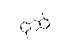 Cc1cccc(Sc2c(C)cccc2C)c1